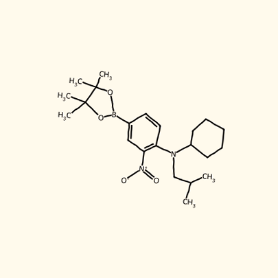 CC(C)CN(c1ccc(B2OC(C)(C)C(C)(C)O2)cc1[N+](=O)[O-])C1CCCCC1